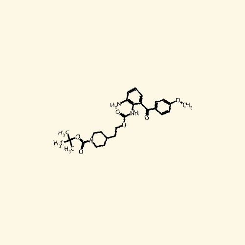 COc1ccc(C(=O)c2cccc(N)c2NC(=O)OCCC2CCN(C(=O)OC(C)(C)C)CC2)cc1